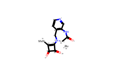 CC[C@H](C)[C@H]1C(=O)Nc2cnccc2CN1c1c(NC)c(=O)c1=O